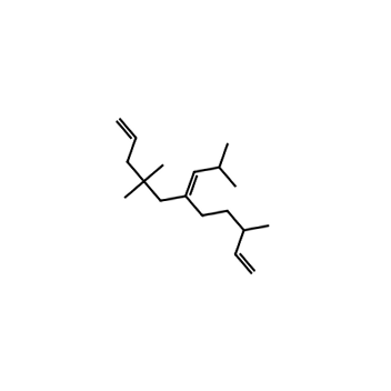 C=CCC(C)(C)CC(=CC(C)C)CCC(C)C=C